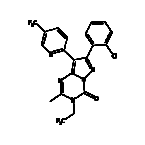 Cc1nc2c(-c3ccc(C(F)(F)F)cn3)c(-c3ccccc3Cl)nn2c(=O)n1CC(F)(F)F